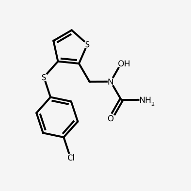 NC(=O)N(O)Cc1sccc1Sc1ccc(Cl)cc1